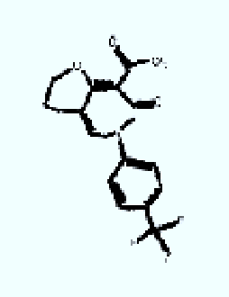 CN(/C=C1/CCO/C1=C(/C=O)C(=O)O)c1ccc(C(F)(F)F)cc1